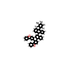 [2H]c1c([2H])c([2H])c(-c2c3ccccc3c(-c3ccc(-c4ccc5oc6ccccc6c5c4-c4ccc5oc6ccccc6c5c4)c4ccccc34)c3ccccc23)c([2H])c1[2H]